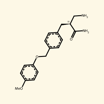 COc1ccc(OCc2ccc(C[C@@H](CN)C(N)=O)cc2)cc1